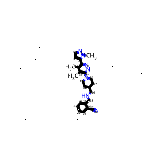 Cc1c(-c2ccnn2C)nnc(N2CCC(CNCc3ccccc3C#N)CC2)c1C